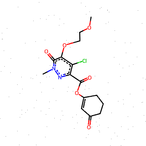 COCCOc1c(Cl)c(C(=O)OC2=CC(=O)CCC2)nn(C)c1=O